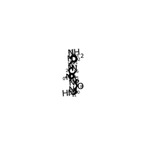 Cn1c2c(c3sc(C(=O)c4cc[nH]n4)nc31)C=NN(Cc1cccc(N)n1)C2